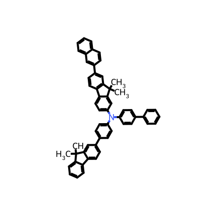 CC1(C)c2ccccc2-c2ccc(-c3ccc(N(c4ccc(-c5ccccc5)cc4)c4ccc5c(c4)C(C)(C)c4cc(-c6ccc7ccccc7c6)ccc4-5)cc3)cc21